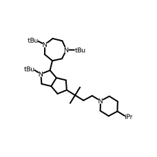 CC(C)C1CCN(CCC(C)(C)C2CC3CN(C(C)(C)C)C(C4CN(C(C)(C)C)CCN(C(C)(C)C)C4)C3C2)CC1